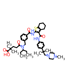 CCC(CC)N(Cc1cccc(C(=O)Nc2sc3c(c2C(=O)Nc2ccc(C(C)(C)CN4CCN(C)CC4)cc2)CCCC3)c1)C(=O)CCC(C)(C)C(=O)O